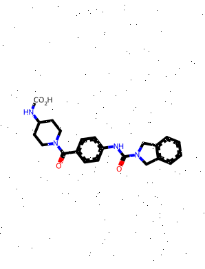 O=C(O)NC1CCN(C(=O)c2ccc(NC(=O)N3Cc4ccccc4C3)cc2)CC1